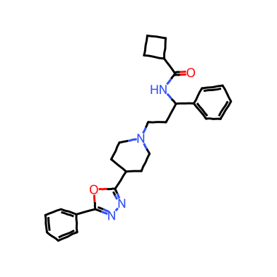 O=C(NC(CCN1CCC(c2nnc(-c3ccccc3)o2)CC1)c1ccccc1)C1CCC1